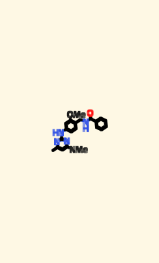 CNc1cc(C)nc(Nc2ccc(CNC(=O)c3ccccc3)c(OC)c2)n1